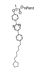 CCCCCOC(=O)[C@H](C)Oc1ccc(-c2ncc(-c3ccc(CCCCCCC4CCCC4)cc3)cn2)cc1